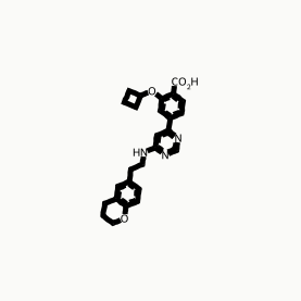 O=C(O)c1ccc(-c2cc(NCCc3ccc4c(c3)CCCO4)ncn2)cc1OC1CCC1